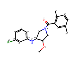 COC1CN(C(=O)c2cc(C)ccc2C)CC1Nc1cccc(Br)c1